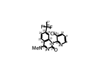 CNc1nc(=O)n(-c2ncccc2Cl)c2cc(C(C)(F)F)ccc12